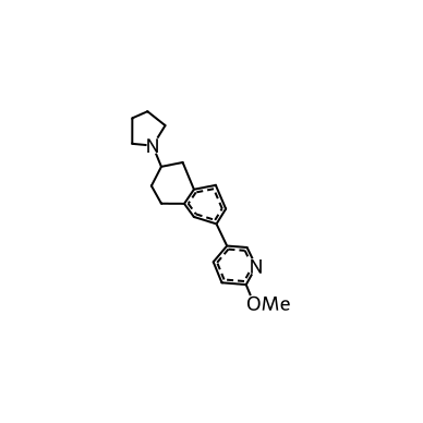 COc1ccc(-c2ccc3c(c2)CCC(N2CCCC2)C3)cn1